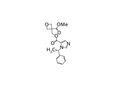 COC(=O)C1(COC(=O)c2cncn2[C@H](C)c2ccccc2)COC1